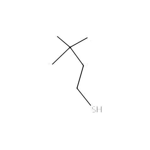 CC(C)(C)[CH]CS